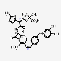 CC(C)(O/N=C(\C(=O)N[C@@H]1C(=O)N2C(C(=O)O)=C(/C=C\c3ccc(C[n+]4ccc(O)c(O)c4)cc3)CS[C@H]12)c1csc(N)n1)C(=O)O